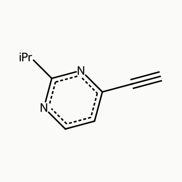 C#Cc1ccnc(C(C)C)n1